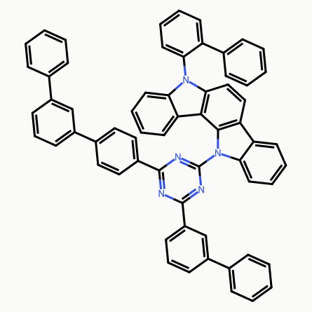 c1ccc(-c2cccc(-c3ccc(-c4nc(-c5cccc(-c6ccccc6)c5)nc(-n5c6ccccc6c6ccc7c(c8ccccc8n7-c7ccccc7-c7ccccc7)c65)n4)cc3)c2)cc1